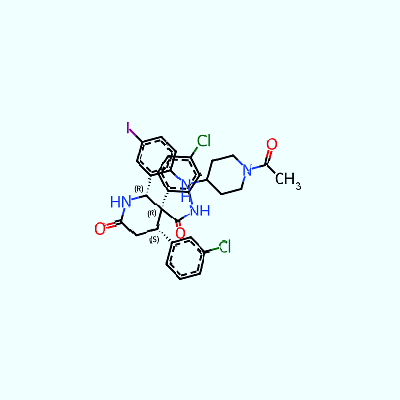 CC(=O)N1CCC(Nc2ccc(I)cc2[C@H]2NC(=O)C[C@@H](c3cccc(Cl)c3)[C@]23C(=O)Nc2cc(Cl)ccc23)CC1